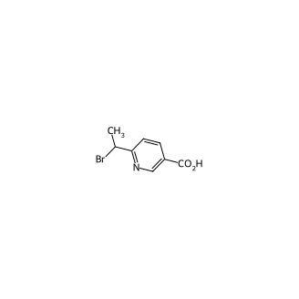 CC(Br)c1ccc(C(=O)O)cn1